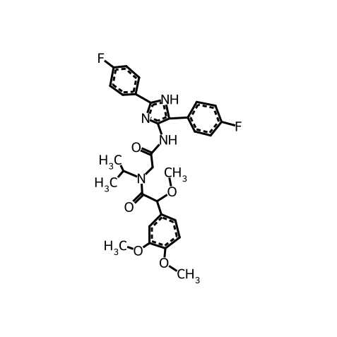 COc1ccc(C(OC)C(=O)N(CC(=O)Nc2nc(-c3ccc(F)cc3)[nH]c2-c2ccc(F)cc2)C(C)C)cc1OC